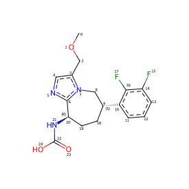 COCc1cnc2n1C[C@H](c1cccc(F)c1F)CC[C@H]2NC(=O)O